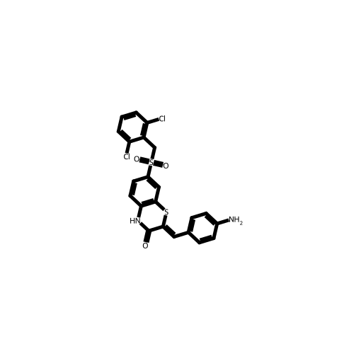 Nc1ccc(/C=C2\Sc3cc(S(=O)(=O)Cc4c(Cl)cccc4Cl)ccc3NC2=O)cc1